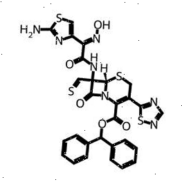 Nc1nc(C(=NO)C(=O)NC2(C=S)C(=O)N3C(C(=O)OC(c4ccccc4)c4ccccc4)=C(c4ncns4)CS[C@H]32)cs1